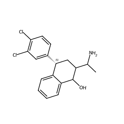 CC(N)C1C[C@@H](c2ccc(Cl)c(Cl)c2)c2ccccc2C1O